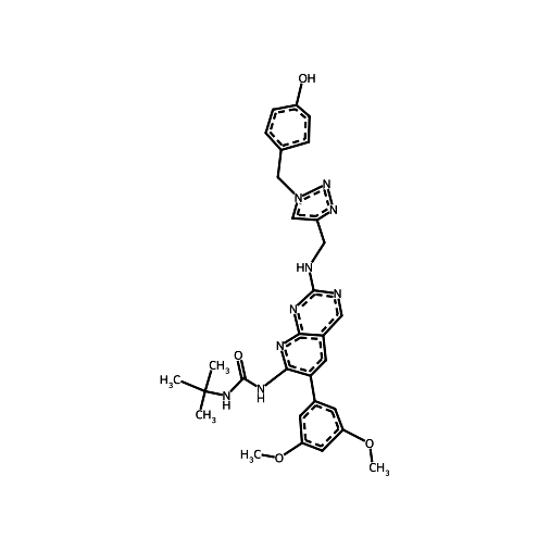 COc1cc(OC)cc(-c2cc3cnc(NCc4cn(Cc5ccc(O)cc5)nn4)nc3nc2NC(=O)NC(C)(C)C)c1